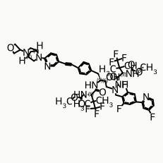 COC(=O)N[C@H](C(=O)N[C@@H](Cc1ccc(C#Cc2ccc(N3C[C@H]4C[C@@H]3CN4C3COC3)nc2)cc1)[C@@H](O)CN(Cc1c(F)cc(-c2cc(F)ccn2)cc1F)NC(=O)[C@@H](NC(=O)OC)C(C)(C)C(F)(F)F)C(C)(C)C(F)(F)F